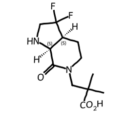 CC(C)(CN1CC[C@H]2[C@H](NCC2(F)F)C1=O)C(=O)O